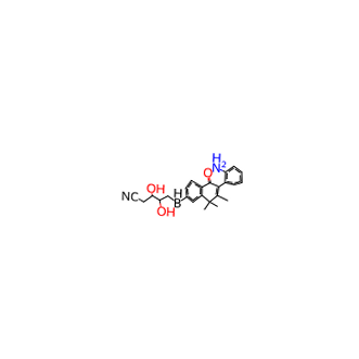 CC1=C(c2ccccc2N)C(=O)c2ccc(BCC(O)C(O)CC#N)cc2C1(C)C